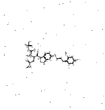 COC(=O)C[C@H](C(=O)N1CCc2cc(OCCCc3ccc(F)cc3F)ccc21)N(C)C(=O)OC(C)(C)C